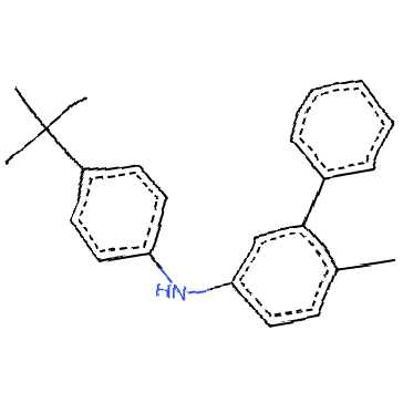 Cc1ccc(Nc2ccc(C(C)(C)C)cc2)cc1-c1ccccc1